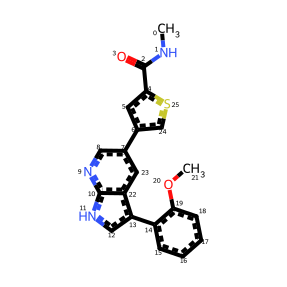 CNC(=O)c1cc(-c2cnc3[nH]cc(-c4ccccc4OC)c3c2)cs1